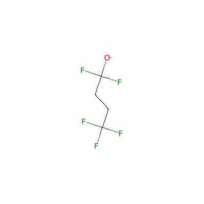 [O]C(F)(F)CCC(F)(F)F